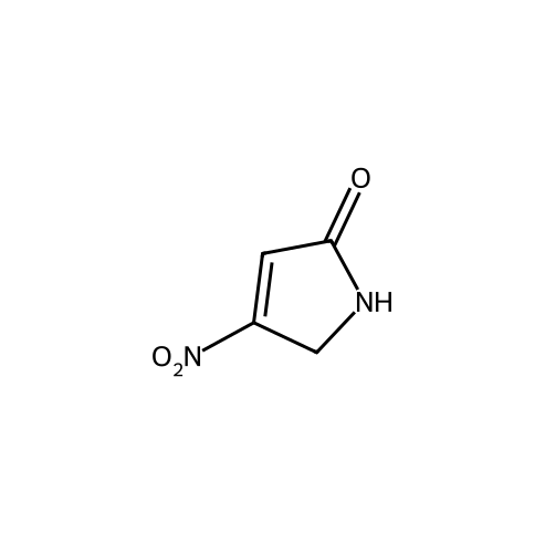 O=C1C=C([N+](=O)[O-])CN1